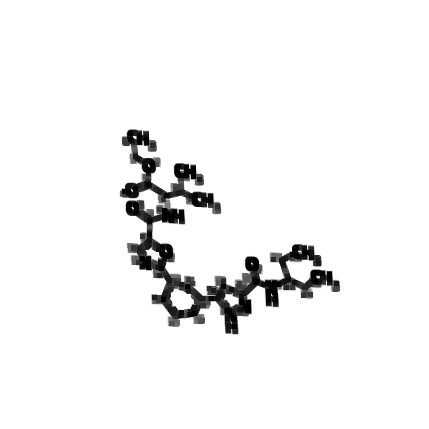 CCOC(=O)[C@@H](NC(=O)c1cnc(-c2cccc(-c3cc(C(=O)NC(CC)CC)n[nH]3)c2)o1)C(C)C